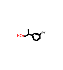 CC(C)c1cccc(C(C)CO)c1